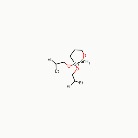 CCC(CC)C[O][Sn]1([O]CC(CC)CC)[CH2]CC[O][SnH2]1